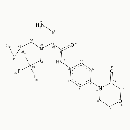 NC[C@H](C(=O)Nc1ccc(N2CCOCC2=O)cc1)N(CC1CC1)CC(F)(F)F